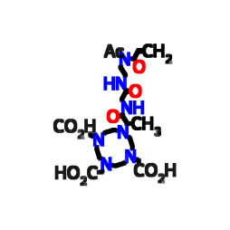 C=CC(=O)N(CCNC(=O)CNC(=O)C(C)N1CCN(CC(=O)O)CCN(CC(=O)O)CCN(CC(=O)O)CC1)C(C)=O